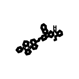 CCCC1=C(Nc2ccc3c(c2)C2(Cc4ccccc4C2)c2cc(/C=C/c4cccc5c(N6c7ccccc7N(c7ccccc7)c7ccccc76)cccc45)ccc2-3)CCC=C1